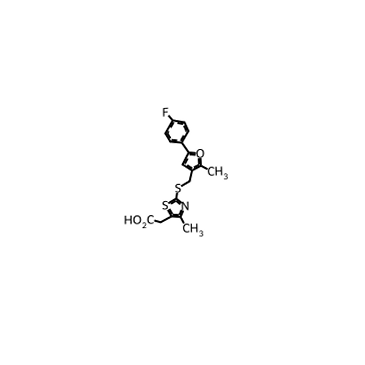 Cc1nc(SCc2cc(-c3ccc(F)cc3)oc2C)sc1CC(=O)O